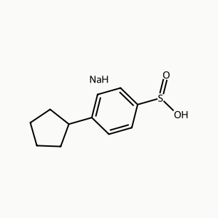 O=S(O)c1ccc(C2CCCC2)cc1.[NaH]